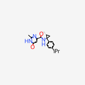 Cc1nc(C(=O)N[C@]2(c3ccc(C(C)C)cc3)C[C@H]2C)cc(=O)[nH]1